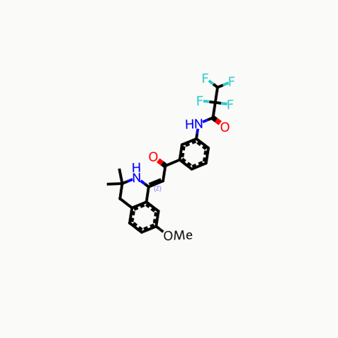 COc1ccc2c(c1)/C(=C/C(=O)c1cccc(NC(=O)C(F)(F)C(F)F)c1)NC(C)(C)C2